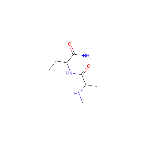 CCC(NC(=O)C(C)NC)C(N)=O